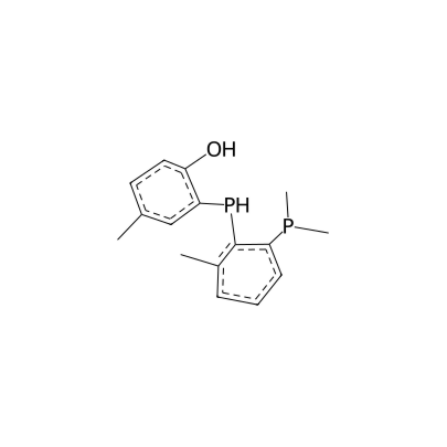 Cc1ccc(O)c(Pc2c(C)cccc2P(C)C)c1